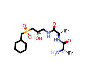 CC(C)[C@H](N)C(=O)N[C@H](C(=O)NC[C@H](O)CP(=O)(O)CC1CCCCC1)C(C)C